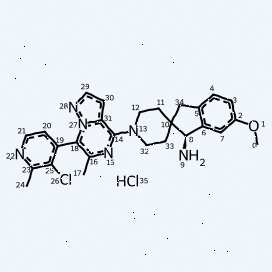 COc1ccc2c(c1)[C@@H](N)C1(CCN(c3nc(C)c(-c4ccnc(C)c4Cl)n4nccc34)CC1)C2.Cl